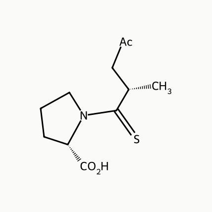 CC(=O)C[C@H](C)C(=S)N1CCC[C@H]1C(=O)O